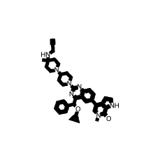 C#CCNC1(C)CCN(C2CCN(c3nc(C(OC4CC4)c4ccccc4)c4cc(-c5cn(C)c(=O)c6[nH]ccc56)ccc4n3)CC2)CC1